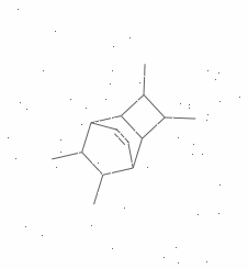 CC1C(C)C2C=CC1C1C(C)C(C)C21